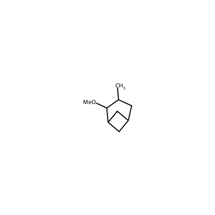 COC1C(C)CC2CC1C2